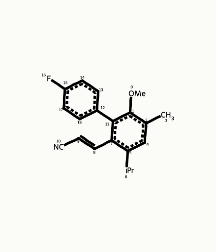 COc1c(C)cc(C(C)C)c(/C=C/C#N)c1-c1ccc(F)cc1